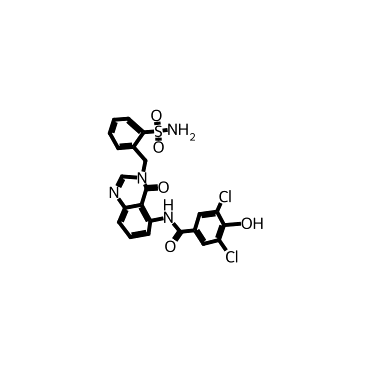 NS(=O)(=O)c1ccccc1Cn1cnc2cccc(NC(=O)c3cc(Cl)c(O)c(Cl)c3)c2c1=O